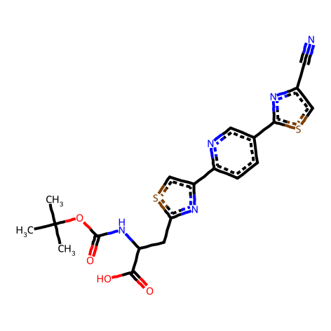 CC(C)(C)OC(=O)NC(Cc1nc(-c2ccc(-c3nc(C#N)cs3)cn2)cs1)C(=O)O